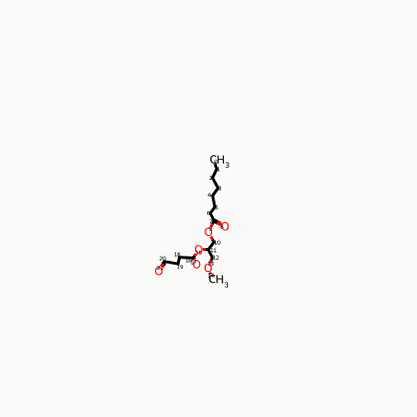 CCCCCCCC(=O)OCC(COC)OC(=O)CCC=O